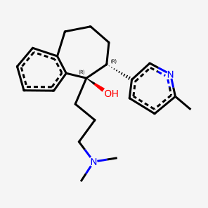 Cc1ccc([C@H]2CCCc3ccccc3[C@@]2(O)CCCN(C)C)cn1